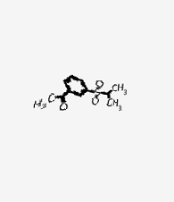 CC(=O)c1cccc(S(=O)(=O)C(C)C)c1